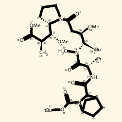 CC[C@H](C)[C@@H]([C@@H](CC(=O)N1CCC[C@H]1[C@H](OC)[C@@H](C)C(=O)OC)OC)N(C)C(=O)[C@@H](NC(=O)C1C2CCC(C2)N1C(=O)OC(C)(C)C)C(C)C